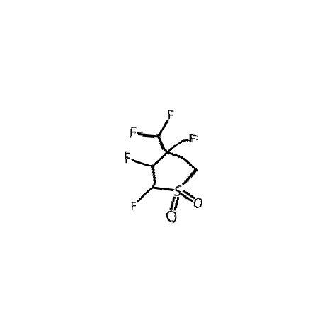 O=S1(=O)CC(F)(C(F)F)C(F)C1F